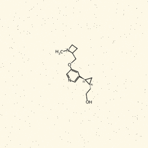 CN1CCC1COc1cncc([C@H]2C[C@@H]2CCO)c1